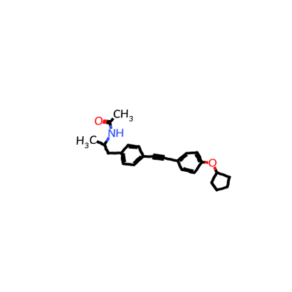 CC(=O)NC(C)Cc1ccc(C#Cc2ccc(OC3CCCC3)cc2)cc1